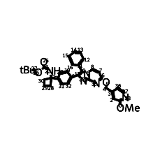 COc1cc(COc2ccn3c(-c4ccccc4)c(-c4ccc(C5(NC(=O)OC(C)(C)C)CCC5)cc4)nc3n2)ccn1